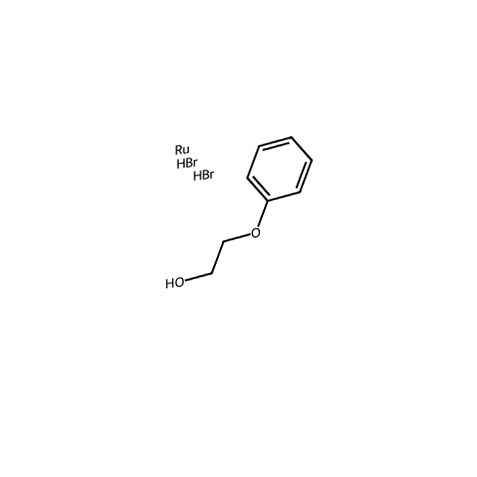 Br.Br.OCCOc1ccccc1.[Ru]